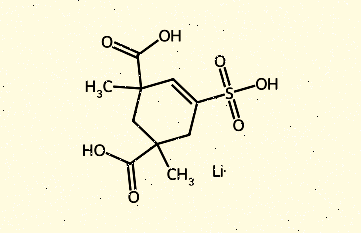 CC1(C(=O)O)C=C(S(=O)(=O)O)CC(C)(C(=O)O)C1.[Li]